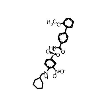 COc1ccccc1-c1ccc(C(=O)NS(=O)(=O)c2ccc(NCC3CCCCC3)c([N+](=O)[O-])c2)cc1